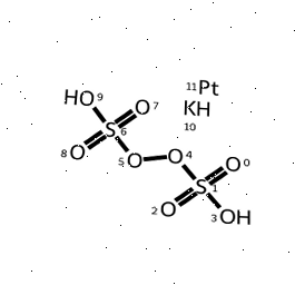 O=S(=O)(O)OOS(=O)(=O)O.[KH].[Pt]